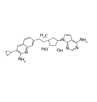 C[C@]1(CCc2ccc3cc(C4CC4)c(N)nc3c2)C[C@@H](n2ccc3c(N)ncnc32)[C@H](O)[C@@H]1O